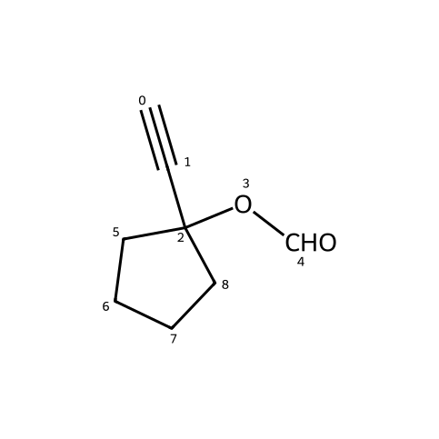 C#CC1(OC=O)CCCC1